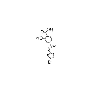 O=C(O)c1ccc(NSc2ccc(Br)s2)cc1O